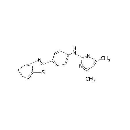 Cc1cc(C)nc(Nc2ccc(-c3nc4ccccc4s3)cc2)n1